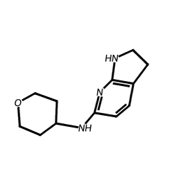 c1cc2c(nc1NC1CCOCC1)NCC2